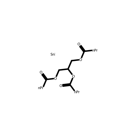 CCCC(=O)OCC(COC(=O)CCC)OC(=O)CCC.[Sn]